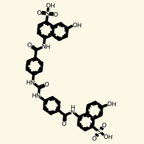 O=C(Nc1ccc(C(=O)Nc2ccc(S(=O)(=O)O)c3cc(O)ccc23)cc1)Nc1ccc(C(=O)Nc2ccc(S(=O)(=O)O)c3cc(O)ccc23)cc1